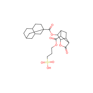 O=C1OC2C3CC(C2OC(=O)C24CCC5CCC(CC5C2)C4)C(C(=O)OCCCS(=O)(=O)O)C13